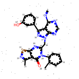 C=Nc1ncnc2c1c(-c1cccc(O)c1)nn2Cc1nc2snc(C)c2c(=O)n1-c1ccccc1C